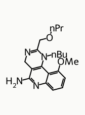 CCCCN1C(COCCC)=NCc2c(N)nc3cccc(OC)c3c21